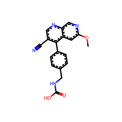 COc1cc2c(-c3ccc(CNC(=O)O)cc3)c(C#N)cnc2cn1